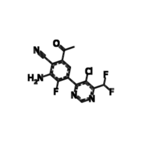 CC(=O)c1cc(-c2ncnc(C(F)F)c2Cl)c(F)c(N)c1C#N